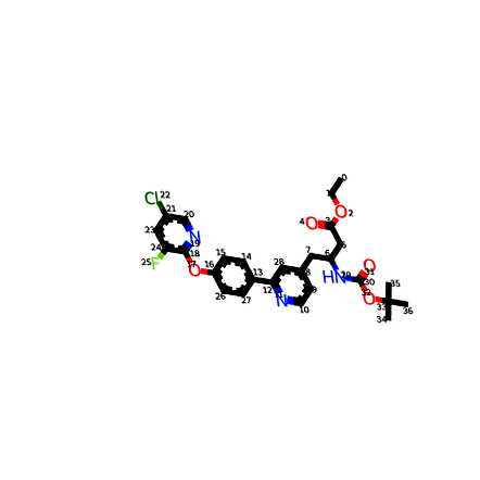 CCOC(=O)CC(Cc1ccnc(-c2ccc(Oc3ncc(Cl)cc3F)cc2)c1)NC(=O)OC(C)(C)C